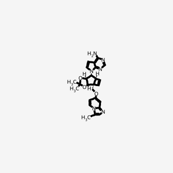 Cc1cnc2cc(OC[C@@]34C=C[C@@H]3[C@@H](n3ccc5c(N)ncnc53)[C@@H]3OC(C)(C)O[C@@H]34)ccn12